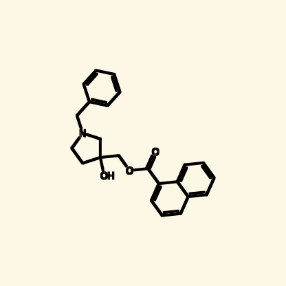 O=C(OCC1(O)CCN(Cc2ccccc2)C1)c1cccc2ccccc12